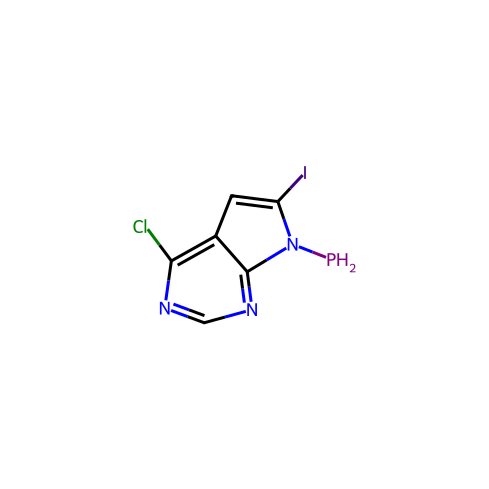 Pn1c(I)cc2c(Cl)ncnc21